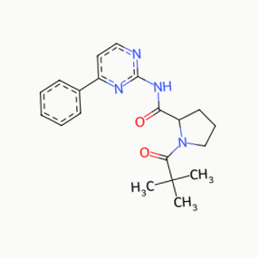 CC(C)(C)C(=O)N1CCCC1C(=O)Nc1nccc(-c2ccccc2)n1